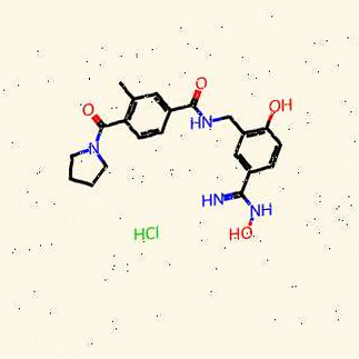 Cc1cc(C(=O)NCc2cc(C(=N)NO)ccc2O)ccc1C(=O)N1CCCC1.Cl